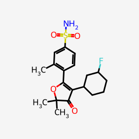 Cc1cc(S(N)(=O)=O)ccc1C1=C(C2CCCC(F)C2)C(=O)C(C)(C)O1